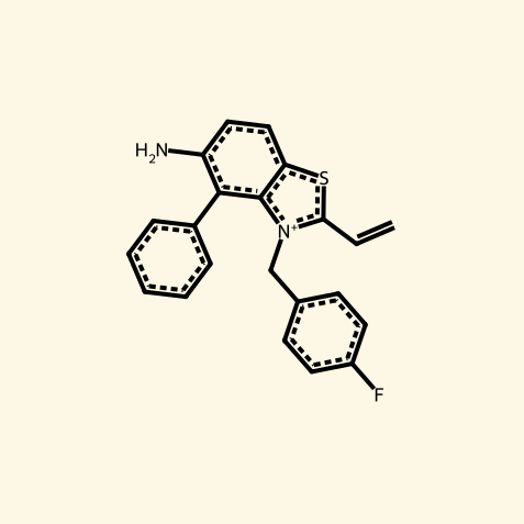 C=Cc1sc2ccc(N)c(-c3ccccc3)c2[n+]1Cc1ccc(F)cc1